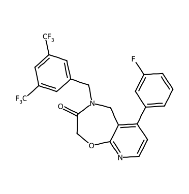 O=C1COc2nccc(-c3cccc(F)c3)c2CN1Cc1cc(C(F)(F)F)cc(C(F)(F)F)c1